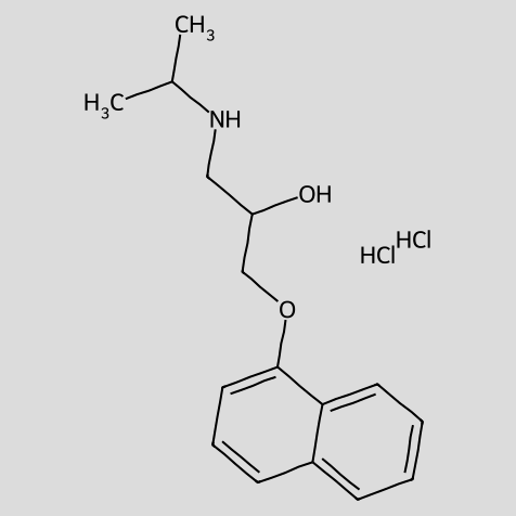 CC(C)NCC(O)COc1cccc2ccccc12.Cl.Cl